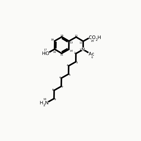 CC(=O)N(CCCCCCCCN)C(Cc1ccc(O)cc1)C(=O)O